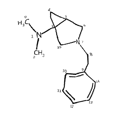 CN(C)C12CC1CN(Cc1ccccc1)C2